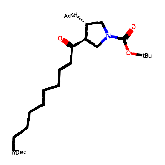 CCCCCCCCCCCCCCCCCCC(=O)[C@@H]1CN(C(=O)OC(C)(C)C)C[C@H]1NC(C)=O